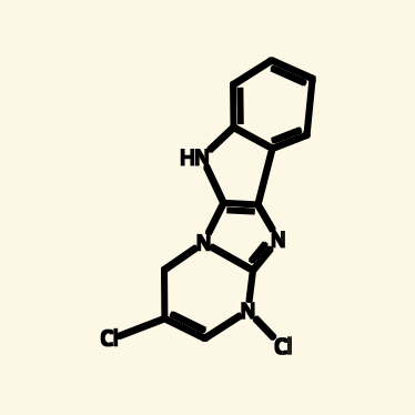 ClC1=CN(Cl)c2nc3c4ccccc4[nH]c3n2C1